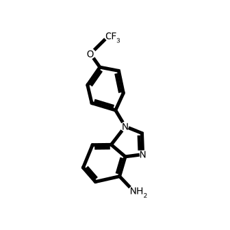 Nc1cccc2c1ncn2-c1ccc(OC(F)(F)F)cc1